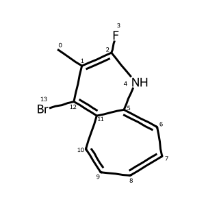 CC1=C(F)NC2=CC=CC=CC2=C1Br